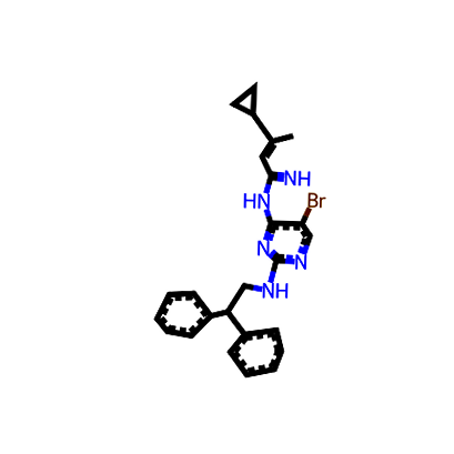 C/C(=C\C(=N)Nc1nc(NCC(c2ccccc2)c2ccccc2)ncc1Br)C1CC1